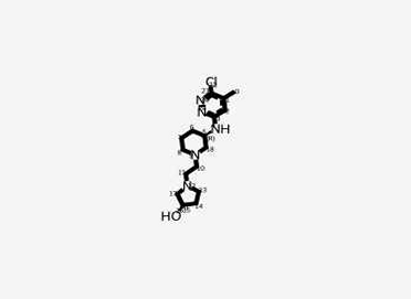 Cc1cc(N[C@@H]2CCCN(CCN3CC[C@@H](O)C3)C2)nnc1Cl